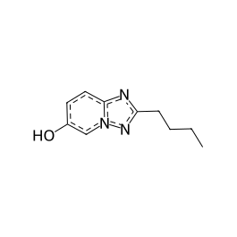 CCCCc1nc2ccc(O)cn2n1